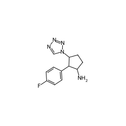 NC1CCC(n2cnnn2)C1c1ccc(F)cc1